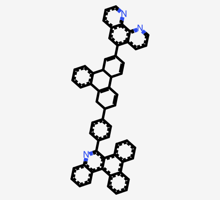 C1=CC2C3=C(CC(c4ccc(-c5nc6ccccc6c6c7ccccc7c7ccccc7c56)cc4)C=C3)c3ccccc3C2C=C1c1cc2cccnc2c2ncccc12